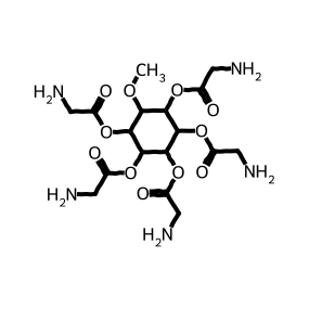 COC1C(OC(=O)CN)C(OC(=O)CN)C(OC(=O)CN)C(OC(=O)CN)C1OC(=O)CN